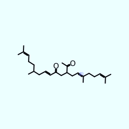 CC(=O)C(C/C=C(\C)CCC=C(C)C)CC(=O)C=CCC(C)CCC=C(C)C